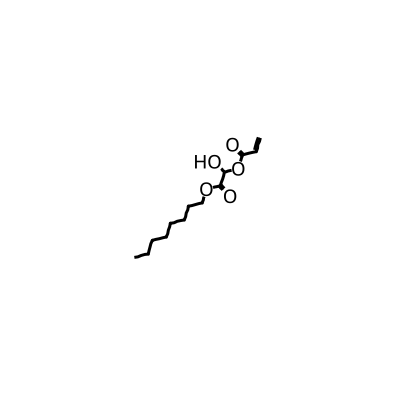 C=CC(=O)OC(O)C(=O)OCCCCCCCC